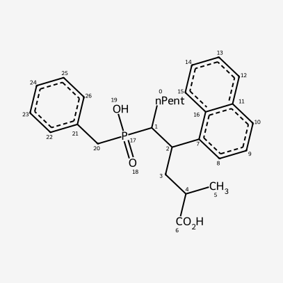 CCCCCC(C(CC(C)C(=O)O)c1cccc2ccccc12)P(=O)(O)Cc1ccccc1